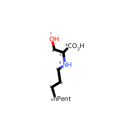 CCCCCCCCNC(CO)C(=O)O